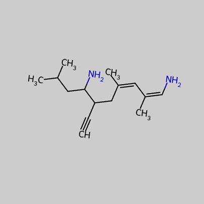 C#CC(C/C(C)=C\C(C)=C/N)C(N)CC(C)C